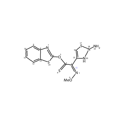 CO/N=C(\C(=S)Oc1nc2ccccc2s1)C1=CSN(N)N1